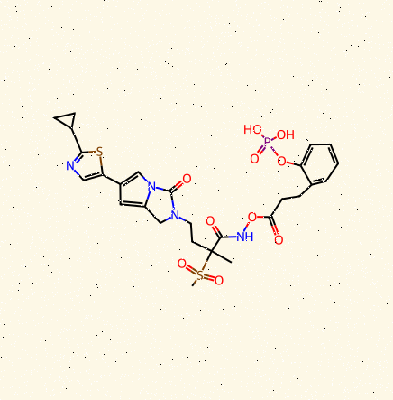 CC(CCN1Cc2cc(-c3cnc(C4CC4)s3)cn2C1=O)(C(=O)NOC(=O)CCc1ccccc1OP(=O)(O)O)S(C)(=O)=O